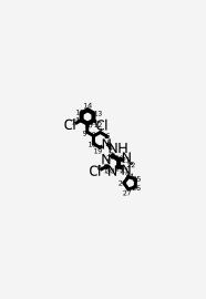 Clc1nc(NN2CCC(Cc3c(Cl)cccc3Cl)CC2)c2ncn(C3CCCC3)c2n1